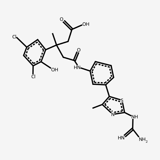 Cc1nc(NC(=N)N)sc1-c1cccc(NC(=O)CC(C)(CC(=O)O)c2cc(Cl)cc(Cl)c2O)c1